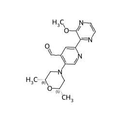 COc1nccnc1-c1cc(C=O)c(N2C[C@@H](C)O[C@@H](C)C2)cn1